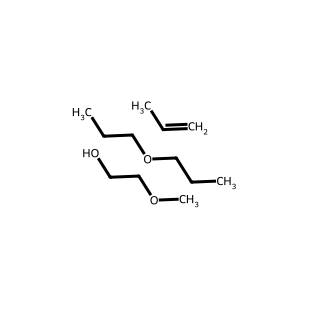 C=CC.CCCOCCC.COCCO